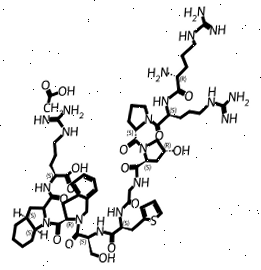 CC(=O)O.N=C(N)NCCC[C@@H](N)C(=O)N[C@@H](CCCNC(=N)N)C(=O)N1CCC[C@H]1C(=O)N1C[C@H](O)C[C@H]1C(=O)NCC(=O)N[C@@H](Cc1cccs1)C(=O)N[C@@H](CO)C(=O)N1Cc2ccccc2C[C@@H]1C(=O)N1C(C(=O)N[C@@H](CCCNC(=N)N)C(=O)O)C[C@@H]2CCCC[C@@H]21